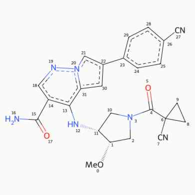 CO[C@H]1CN(C(=O)C2(C#N)CC2)C[C@H]1Nc1c(C(N)=O)cnn2cc(-c3ccc(C#N)cc3)cc12